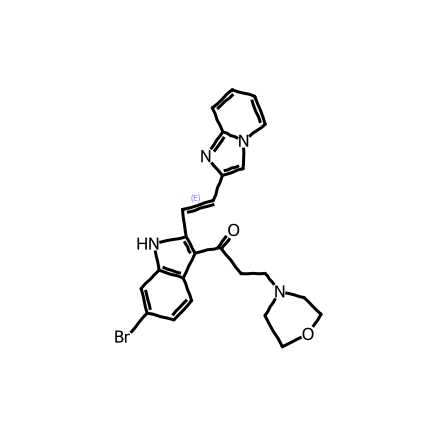 O=C(CCN1CCOCC1)c1c(/C=C/c2cn3ccccc3n2)[nH]c2cc(Br)ccc12